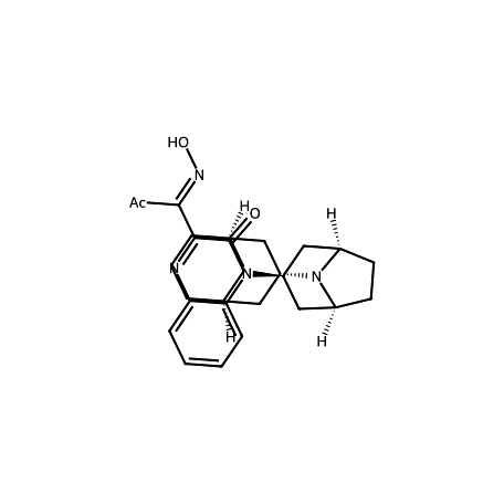 CC(=O)/C(=N\O)c1nc2ccccc2n([C@H]2C[C@H]3CC[C@@H](C2)N3[C@H]2C[C@@H]3CCC[C@@H](C3)C2)c1=O